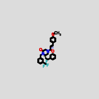 COc1ccc(/C=C/C(=O)N2CC(=O)N(Cc3cccc(C(F)(F)F)c3)[C@@H](CCc3ccccc3)C2)cc1